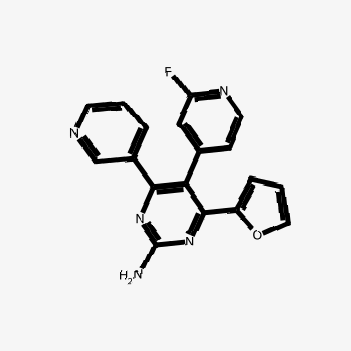 Nc1nc(-c2cccnc2)c(-c2ccnc(F)c2)c(-c2ccco2)n1